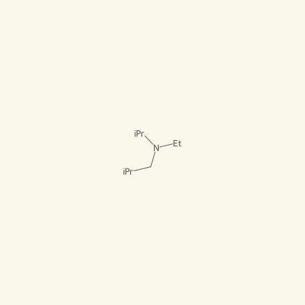 CCN(CC(C)C)C(C)C